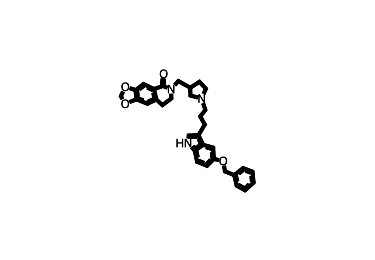 O=C1c2cc3c(cc2CCN1CC1CCN(CCCc2c[nH]c4ccc(OCc5ccccc5)cc24)C1)OCO3